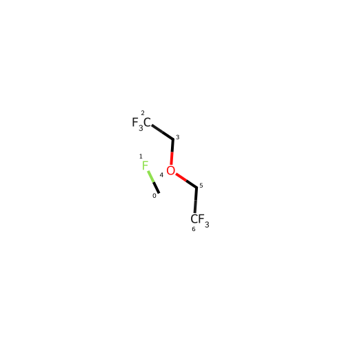 CF.FC(F)(F)COCC(F)(F)F